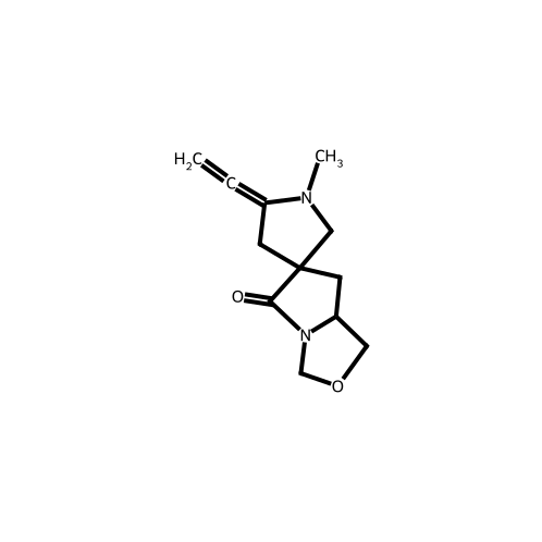 C=C=C1CC2(CC3COCN3C2=O)CN1C